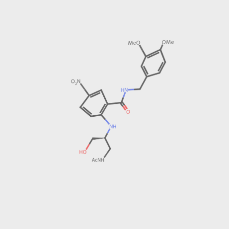 COc1ccc(CNC(=O)c2cc([N+](=O)[O-])ccc2N[C@H](CO)CNC(C)=O)cc1OC